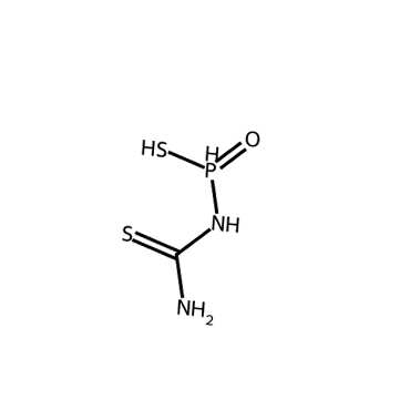 NC(=S)N[PH](=O)S